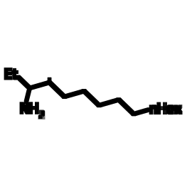 CCCCCCCCCCC[CH]C(N)CC